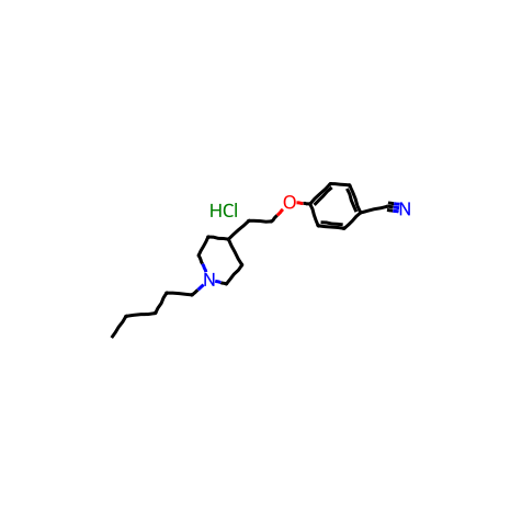 CCCCCN1CCC(CCOc2ccc(C#N)cc2)CC1.Cl